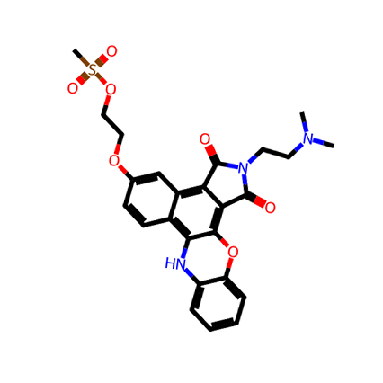 CN(C)CCn1c(=O)c2c3cc(OCCOS(C)(=O)=O)ccc3c3[nH]c4ccccc4oc3c2c1=O